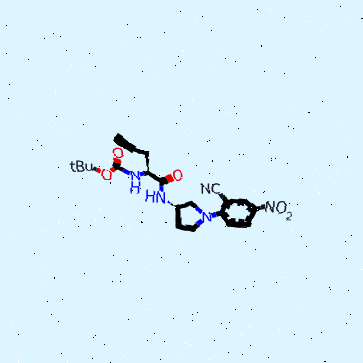 C#CC[C@H](NC(=O)OC(C)(C)C)C(=O)N[C@H]1CCN(c2ccc([N+](=O)[O-])cc2C#N)C1